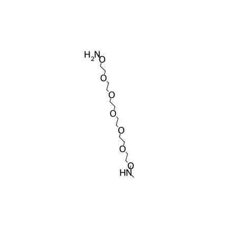 CNOCCOCCOCCOCCOCCOCCON